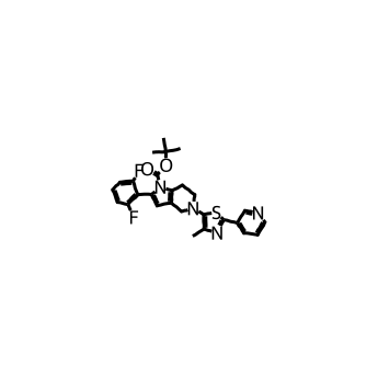 Cc1nc(-c2cccnc2)sc1N1CCc2c(cc(-c3c(F)cccc3F)n2C(=O)OC(C)(C)C)C1